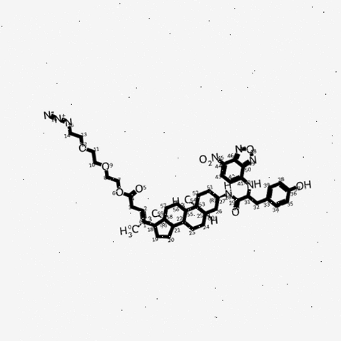 C[C@H](CCC(=O)OCCOCCOCCN=[N+]=[N-])C1CCC2C3CC[C@@H]4C[C@H](NC(=O)C(Cc5ccc(O)cc5)Nc5ccc([N+](=O)[O-])c6nonc56)CC[C@]4(C)C3CC[C@@]21C